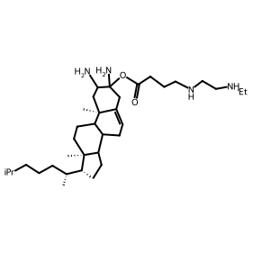 CCNCCNCCCC(=O)OC1(N)CC2=CCC3C(CC[C@@]4(C)C3CC[C@@H]4[C@H](C)CCCC(C)C)[C@@]2(C)CC1N